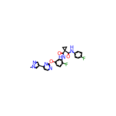 Cn1cc(-c2ccnc(Oc3ccc(F)c(NC(=O)C4(C(=O)Nc5ccc(F)cc5)CC4)c3)n2)cn1